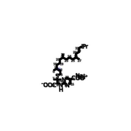 C/C(=C\CSC(C)(C)[C@H](Nc1ncc(C(=O)[O-])cn1)C(=O)[O-])CCCC(C)CCCC(C)CCCC(C)C.[Na+].[Na+]